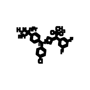 CCCC(N)(CCC)c1ccc([C@@H](c2ccc(Cl)cc2)N2CC(=C(c3cc(F)cc(F)c3)S(C)(=O)=O)C2)cc1